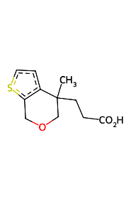 CC1(CCC(=O)O)COCc2sccc21